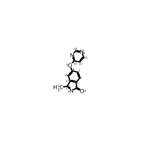 CC1=NC(=O)c2ccc(Oc3ccncn3)cc21